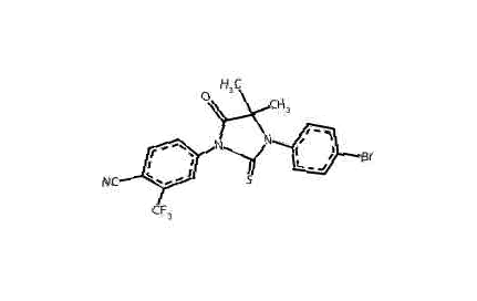 CC1(C)C(=O)N(c2ccc(C#N)c(C(F)(F)F)c2)C(=S)N1c1ccc(Br)cc1